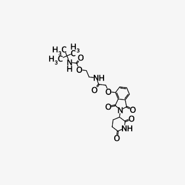 CC(C)(C)NC(=O)OCCNC(=O)COc1cccc2c1C(=O)N(C1CCC(=O)NC1=O)C2=O